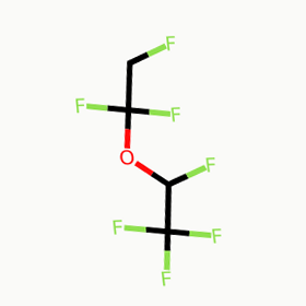 FCC(F)(F)OC(F)C(F)(F)F